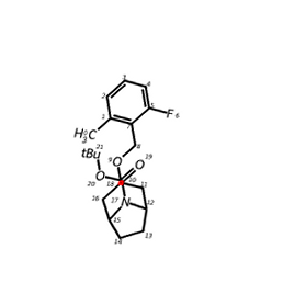 Cc1cccc(F)c1COC1CC2CCC(C1)N2C(=O)OC(C)(C)C